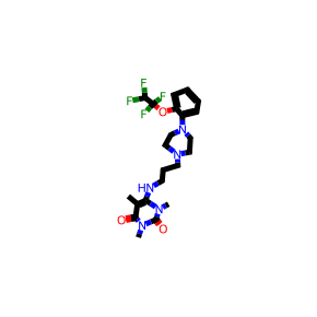 Cc1c(NCCCN2CCN(c3ccccc3OC(F)(F)C(F)F)CC2)n(C)c(=O)n(C)c1=O